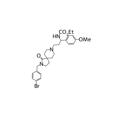 CCOC(=O)NC(CCN1CCC2(CC1)CCN(Cc1ccc(Br)cc1)C2=O)c1ccc(OC)cc1